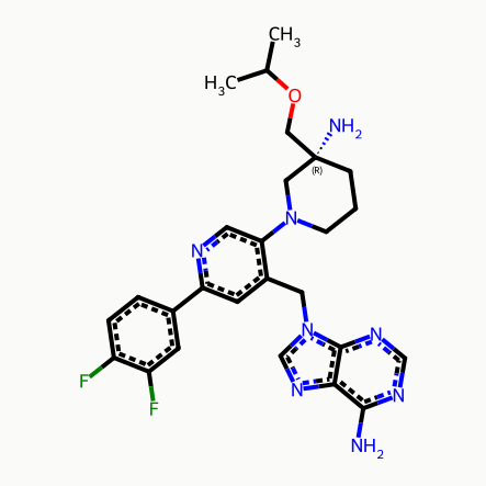 CC(C)OC[C@@]1(N)CCCN(c2cnc(-c3ccc(F)c(F)c3)cc2Cn2cnc3c(N)ncnc32)C1